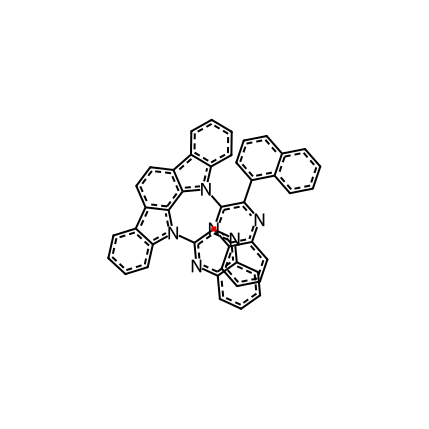 c1ccc2c(-c3nc4ccccc4nc3-n3c4ccccc4c4ccc5c6ccccc6n(-c6cnc7ccccc7n6)c5c43)cccc2c1